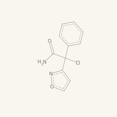 NC(=O)C(Cl)(c1ccccc1)c1ccon1